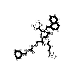 CCOC(OCC)[C@H](C)N(Cc1cccc2ccccc12)C(=O)[C@H](CCCCNC(=O)O)NC(=O)CONC(=O)NCc1ccncc1